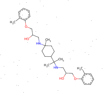 Cc1ccccc1OCC(O)CNC1(C)CCC(C(C)(C)NCC(O)COc2ccccc2C)CC1